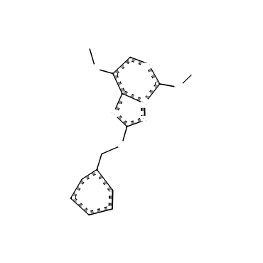 COc1cnc(OC)n2nc(SCc3ccccc3)nc12